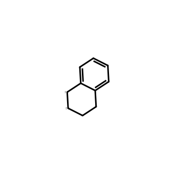 [C]1[C]c2ccccc2CC1